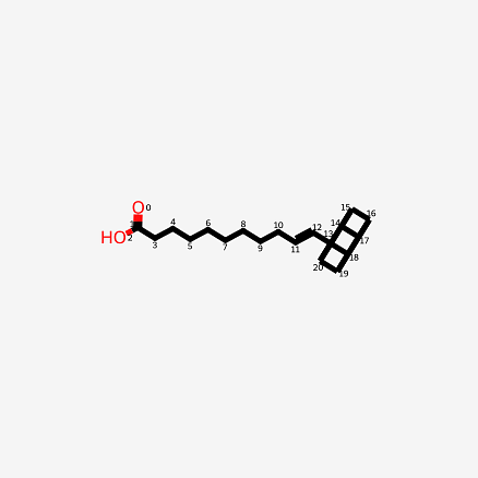 O=C(O)CCCCCCCC/C=C/C12C3C4C5C3C1C5C42